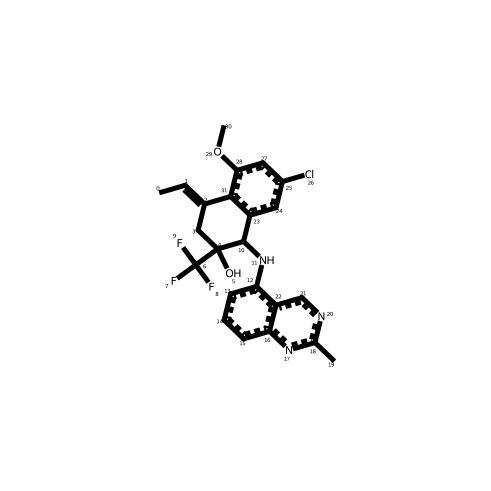 CC=C1CC(O)(C(F)(F)F)C(Nc2cccc3nc(C)ncc23)c2cc(Cl)cc(OC)c21